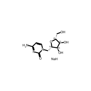 Nc1ccn(C[C@@H]2O[C@H](CO)[C@@H](O)[C@H]2O)c(=O)n1.[NaH]